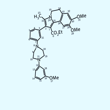 CCOC(=O)c1c(-c2cccc(N3CCN(c4cccc(OC)c4)CC3)c2)c(C)n2c1-c1cc(OC)c(OC)cc1CC2